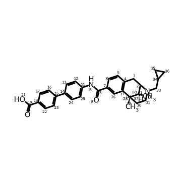 C[C@H]1C2Cc3ccc(C(=O)Nc4ccc(-c5ccc(C(=O)O)cc5)cc4)cc3[C@@]1(C)CCN2CC1CC1